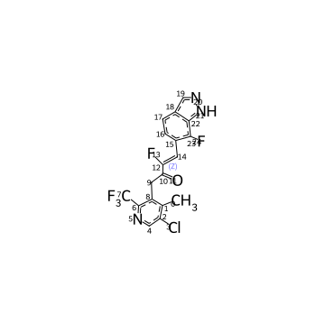 Cc1c(Cl)cnc(C(F)(F)F)c1CC(=O)/C(F)=C/c1ccc2cn[nH]c2c1F